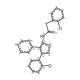 O=C(Cc1ccccc1Cl)Nc1onc(-c2ccccc2Cl)c1-c1ccncn1